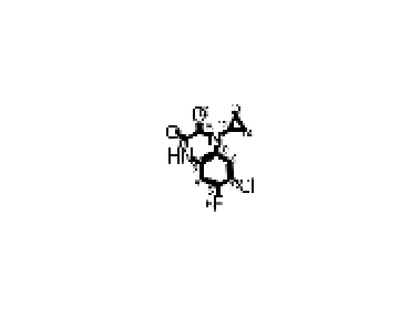 O=c1[nH]c2cc(F)c(Cl)cc2n(C2CC2)c1=O